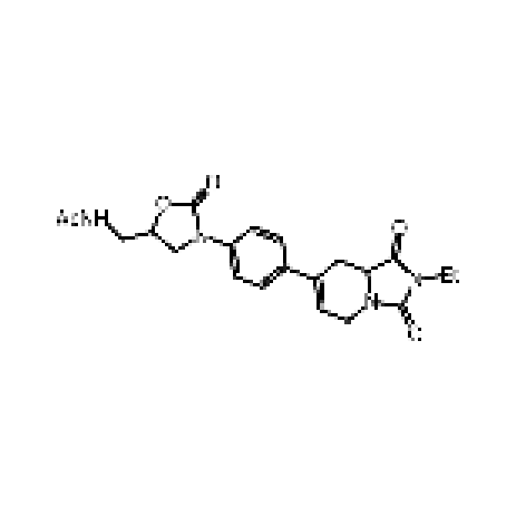 CCN1C(=O)C2CC(c3ccc(N4CC(CNC(C)=O)OC4=O)cc3)=CCN2C1=O